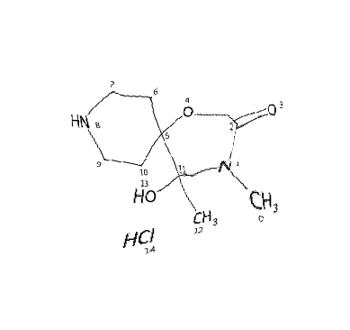 CN1C(=O)OC2(CCNCC2)C1(C)O.Cl